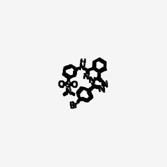 CN(C)S(=O)(=O)c1cccc(Nc2nn3c(-c4ccc(Br)cc4)nnc3c3ccccc23)c1